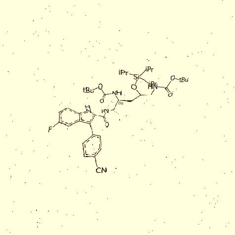 CC(C)[Si](OC(CNC(=O)OC(C)(C)C)C[C@@H](CNC(=O)c1[nH]c2ccc(F)cc2c1-c1ccc(C#N)cc1)NC(=O)OC(C)(C)C)(C(C)C)C(C)C